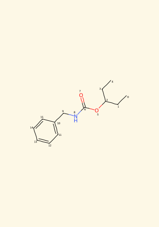 CCC(CC)OC(=O)NCc1ccccc1